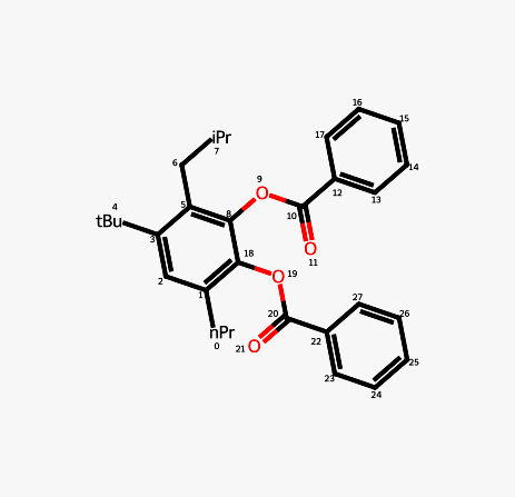 CCCc1cc(C(C)(C)C)c(CC(C)C)c(OC(=O)c2ccccc2)c1OC(=O)c1ccccc1